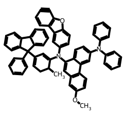 COc1ccc2c(c1)cc(N(C1=CC(C3(c4ccccc4)c4ccccc4-c4ccccc43)=CCC1C)c1ccc3oc4c#cccc4c3c1)c1ccc(N(c3ccccc3)c3ccccc3)cc12